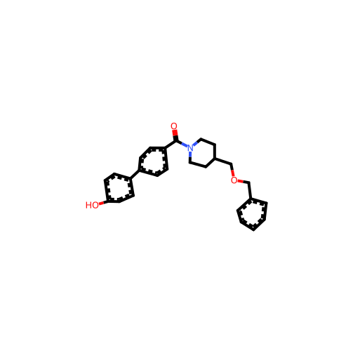 O=C(c1ccc(-c2ccc(O)cc2)cc1)N1CCC(COCc2ccccc2)CC1